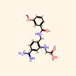 COc1cccc(C(=O)NCc2ccc(C(=N)N)cc2NCC(=O)O)c1